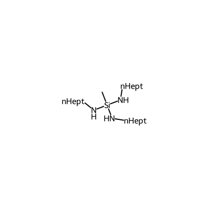 CCCCCCCN[Si](C)(NCCCCCCC)NCCCCCCC